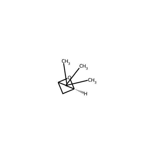 CC1C2C[C@H](O2)C1(C)C